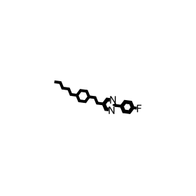 CCCCCC1CCC(CCc2cnc(-c3ccc(F)cc3)nc2)CC1